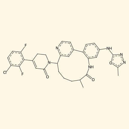 Cc1nnc(Nc2ccc3c(c2)NC(=O)C(C)CCCC(N2CCC(c4c(F)ccc(Cl)c4F)=CC2=O)c2cc-3ccn2)o1